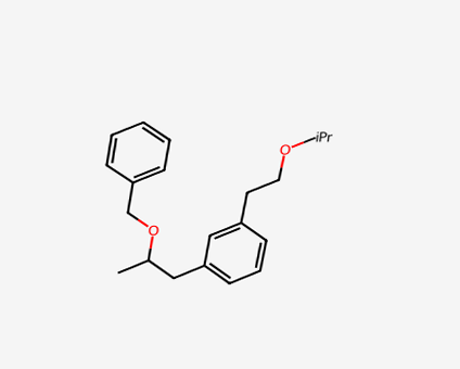 CC(C)OCCc1cccc(CC(C)OCc2ccccc2)c1